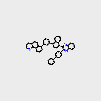 c1ccc(-c2ccc(-c3nc4ccccc4nc3-c3ccc(-c4cccc(-c5cccc6c5ccc5cccnc56)c4)c4ccccc34)cc2)cc1